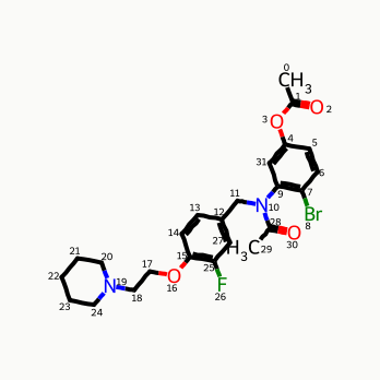 CC(=O)Oc1ccc(Br)c(N(Cc2ccc(OCCN3CCCCC3)c(F)c2)C(C)=O)c1